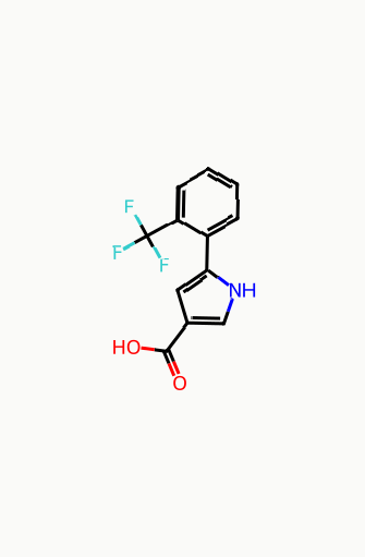 O=C(O)c1c[nH]c(-c2ccccc2C(F)(F)F)c1